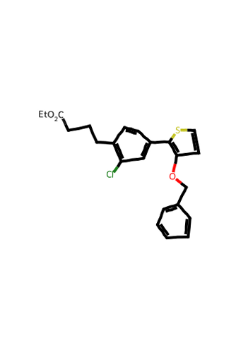 CCOC(=O)CCCc1ccc(-c2sccc2OCc2ccccc2)cc1Cl